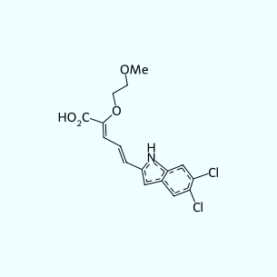 COCCOC(=CC=Cc1cc2cc(Cl)c(Cl)cc2[nH]1)C(=O)O